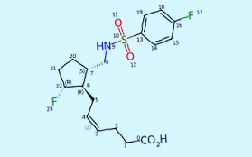 O=C(O)CC/C=C\C[C@@H]1[C@@H](CNS(=O)(=O)c2ccc(F)cc2)CC[C@H]1F